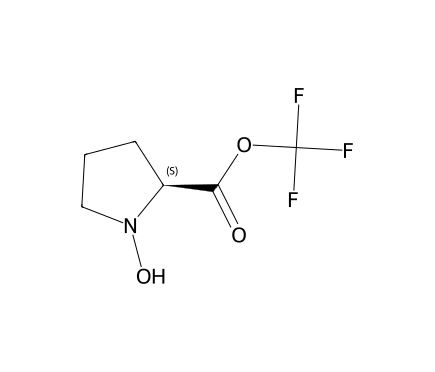 O=C(OC(F)(F)F)[C@@H]1CCCN1O